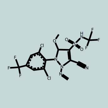 C=NN1C(C#N)=C(S(=O)(=O)NC(F)(F)F)C(OC)N1c1c(Cl)cc(C(F)(F)F)cc1Cl